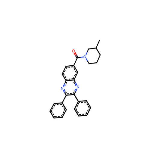 CC1CCCN(C(=O)c2ccc3nc(-c4ccccc4)c(-c4ccccc4)nc3c2)C1